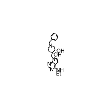 CCNc1ncnc2c1ccn2C[C@@]1(O)CCN(Cc2ccccc2)C[C@@H]1O